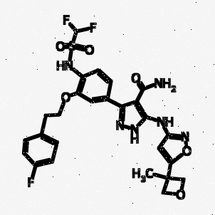 CC1(c2cc(Nc3[nH]nc(-c4ccc(NS(=O)(=O)C(F)F)c(OCCc5ccc(F)cc5)c4)c3C(N)=O)no2)COC1